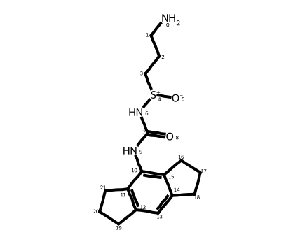 NCCC[S+]([O-])NC(=O)Nc1c2c(cc3c1CCC3)CCC2